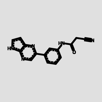 N#CCC(=O)Nc1cccc(-c2cnc3[nH]ccc3n2)c1